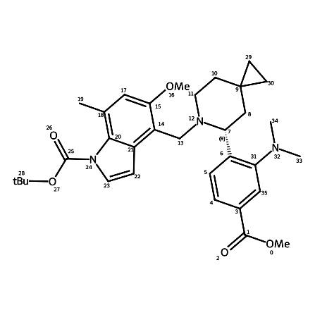 COC(=O)c1ccc([C@H]2CC3(CCN2Cc2c(OC)cc(C)c4c2ccn4C(=O)OC(C)(C)C)CC3)c(N(C)C)c1